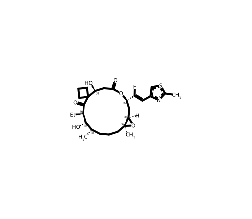 CC[C@H]1C(=O)C2(CCC2)[C@@H](O)CC(=O)O[C@H](C(F)=Cc2csc(C)n2)C[C@H]2O[C@@]2(C)CCC[C@H](C)[C@@H]1O